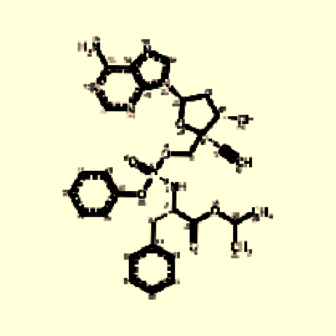 C#C[C@]1(CO[P@@](=O)(N[C@@H](Cc2ccccc2)C(=O)OC(C)C)Oc2ccccc2)O[C@@H](n2cnc3c(N)ncnc32)C[C@@H]1O